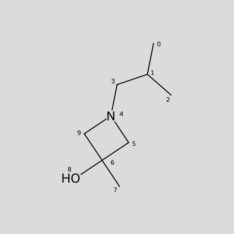 CC(C)CN1CC(C)(O)C1